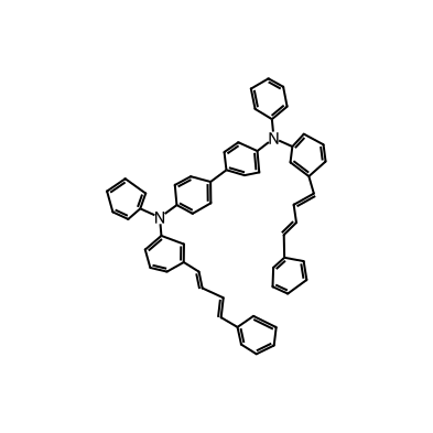 C(/C=C/c1cccc(N(c2ccccc2)c2ccc(-c3ccc(N(c4ccccc4)c4cccc(/C=C/C=C/c5ccccc5)c4)cc3)cc2)c1)=C\c1ccccc1